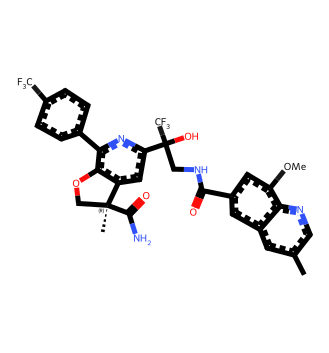 COc1cc(C(=O)NCC(O)(c2cc3c(c(-c4ccc(C(F)(F)F)cc4)n2)OC[C@]3(C)C(N)=O)C(F)(F)F)cc2cc(C)cnc12